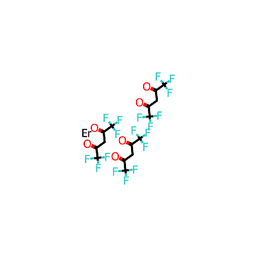 O=C(CC(=O)C(F)(F)F)C(F)(F)F.O=C(CC(=O)C(F)(F)F)C(F)(F)F.O=C(CC(=O)C(F)(F)F)C(F)(F)F.[Er]